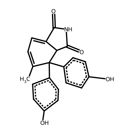 CC1=CC=C2C(=O)NC(=O)C2C1(c1ccc(O)cc1)c1ccc(O)cc1